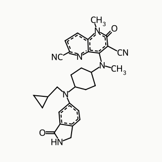 CN(c1c(C#N)c(=O)n(C)c2ccc(C#N)nc12)C1CCC(N(CC2CC2)c2ccc3c(c2)C(=O)NC3)CC1